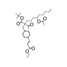 CCCCCC(CCCC(Cc1ccc(C=CC(=O)OCC)cc1)(C(C)=O)C(=O)OC(C)(C)C)OC(C)=O